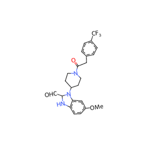 COc1ccc2c(c1)N(C1CCN(C(=O)Cc3ccc(C(F)(F)F)cc3)CC1)C(C=O)N2